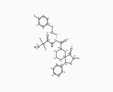 Cc1ccc(COC[C@@H](NC(=O)C(C)(C)N)C(=O)N2CCCC3(C2)C(=O)N(C)CC3c2ccccc2)cc1